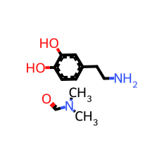 CN(C)C=O.NCCc1ccc(O)c(O)c1